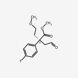 COCC[C@@](CC=O)(C(=O)OC)c1ccc(F)cc1